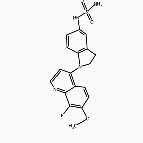 COc1ccc2c(N3CCc4cc(NS(N)(=O)=O)ccc43)ccnc2c1F